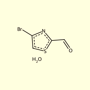 O.O=Cc1nc(Br)cs1